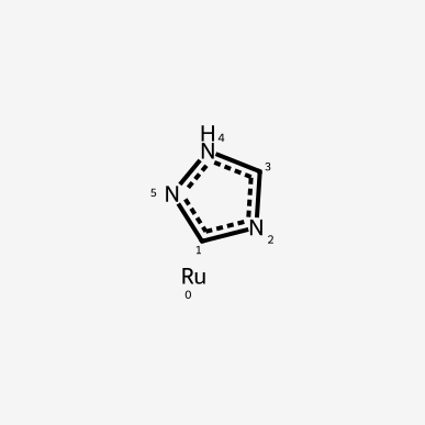 [Ru].c1nc[nH]n1